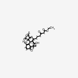 CCOC(=O)CC(=O)CCCC1=C(C(=O)O)C(c2c(F)ccc(Cl)c2C(F)(F)F)C(C)(C(=O)O)C(CF)=N1